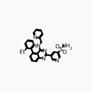 CCc1ccccc1-c1cccc2nc(-c3cncc(S(N)(=O)=O)c3)nc(NCc3ccccn3)c12